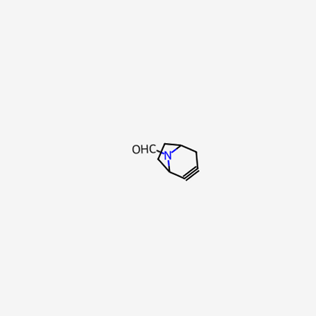 O=CN1C2C#CCC1CC2